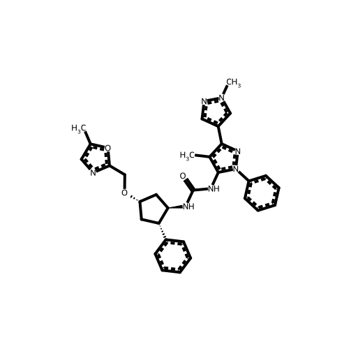 Cc1cnc(CO[C@@H]2C[C@@H](NC(=O)Nc3c(C)c(-c4cnn(C)c4)nn3-c3ccccc3)[C@H](c3ccccc3)C2)o1